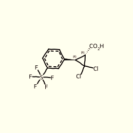 O=C(O)[C@H]1[C@H](c2cccc(S(F)(F)(F)(F)F)c2)C1(Cl)Cl